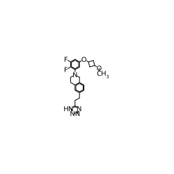 COC1CC(Oc2cc(F)c(F)c(N3CCc4cc(CCc5nnn[nH]5)ccc4C3)c2)C1